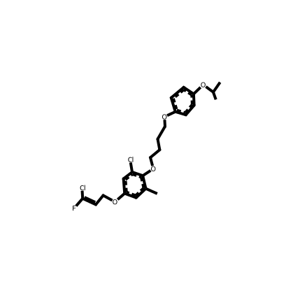 Cc1cc(OCC=C(F)Cl)cc(Cl)c1OCCCCOc1ccc(OC(C)C)cc1